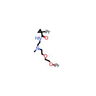 CC(C)OCCOCCN(C)CCNC(=O)C1(C(C)C)CC1